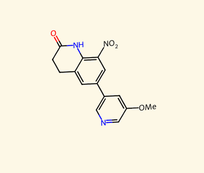 COc1cncc(-c2cc3c(c([N+](=O)[O-])c2)NC(=O)CC3)c1